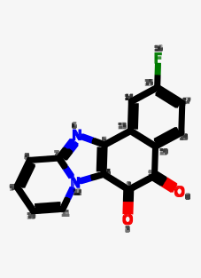 O=C1C(=O)c2c(nc3ccccn23)-c2cc(F)ccc21